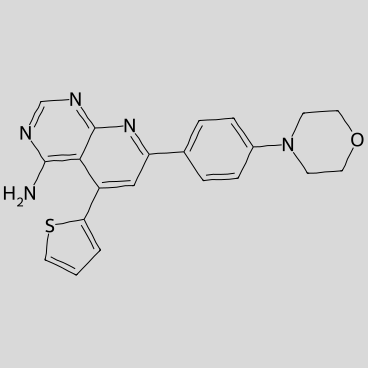 Nc1ncnc2nc(-c3ccc(N4CCOCC4)cc3)cc(-c3cccs3)c12